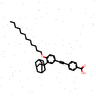 CCCCCCCCCCCCOc1ccc(C#Cc2ccc(C(=O)O)cc2)cc1C12CC3CC(CC(C3)C1)C2